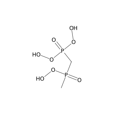 CP(=O)(CP(=O)(OO)OO)OO